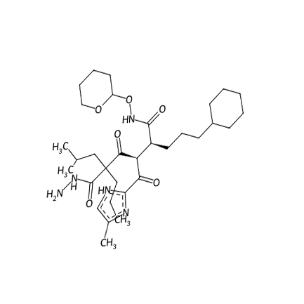 CCCC(CC(C)C)(C(=O)NN)C(=O)[C@H](C(=O)c1nc(C)c[nH]1)[C@H](CCCC1CCCCC1)C(=O)NOC1CCCCO1